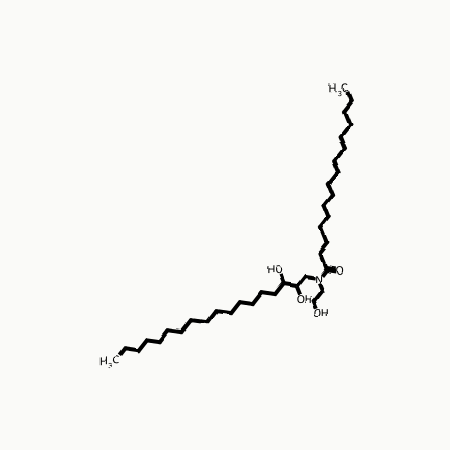 CCCCCCCCCCCCCCCC(=O)N(CCO)CC(O)C(O)CCCCCCCCCCCCCCC